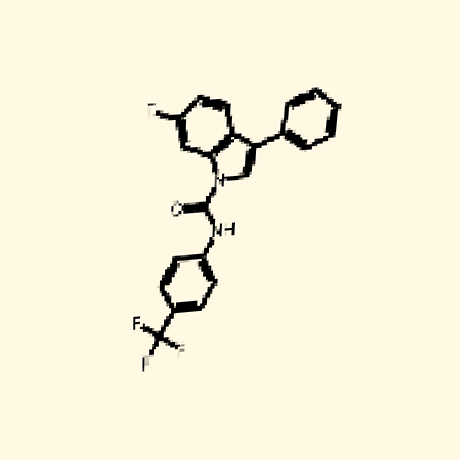 O=C(Nc1ccc(C(F)(F)F)cc1)n1cc(-c2ccccc2)c2ccc(F)cc21